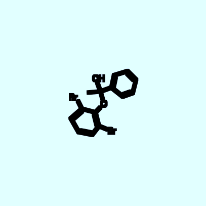 CC(O)(Oc1c(Br)cccc1Br)c1ccccc1